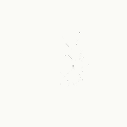 O=C1C=c2oc3ccc(O)c(O)c3c2=CC1=O